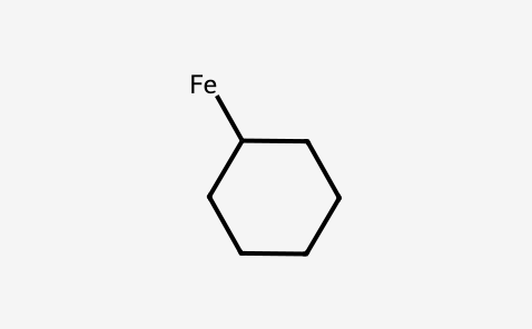 [Fe][CH]1CCCCC1